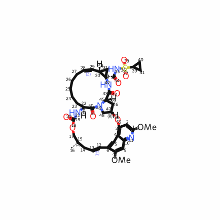 COc1cc2c3cc(c(OC)cc3n1)/C=C/C[C@H](C)COC(=O)N[C@H]1CCCCC/C=C\[C@@H]3C[C@@]3(C(=O)NS(=O)(=O)C3CC3)NC(=O)[C@@H]3C[C@H](CN3C1=O)O2